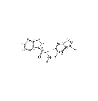 Cc1csc2cnc(CN(C)CC(=O)N3CCc4ccccc43)nc12